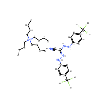 CCCC[N+](CCCC)(CCCC)CCCC.N#CC(N=Nc1ccc(C(F)(F)F)cc1)=NNc1ccc(C(F)(F)F)cc1